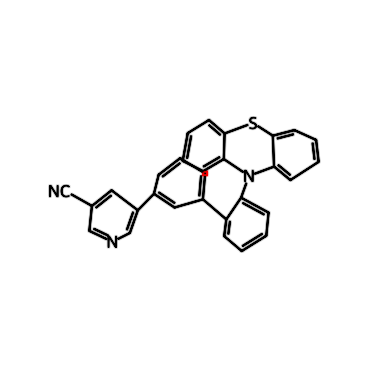 N#Cc1cncc(-c2cccc(-c3ccccc3N3c4ccccc4Sc4ccccc43)c2)c1